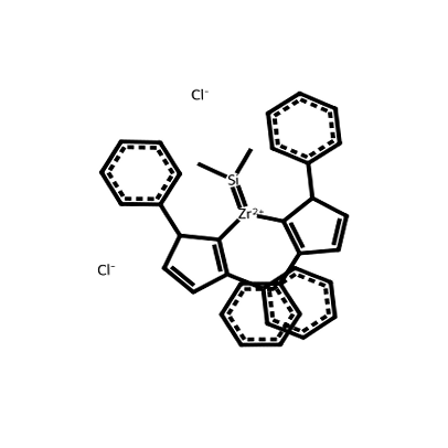 C[Si](C)=[Zr+2]([C]1=C(c2ccccc2)C=CC1c1ccccc1)[C]1=C(c2ccccc2)C=CC1c1ccccc1.[Cl-].[Cl-]